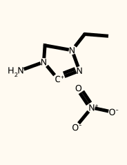 CCN1CN(N)[C+]=N1.O=[N+]([O-])[O-]